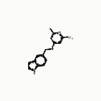 FC(F)(F)c1cc(NCc2ccc3[nH]ccc3c2)nc(Cl)n1